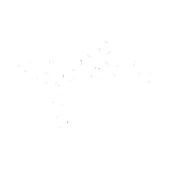 CC1(C)c2ccccc2-c2ccc(N(c3ccc(-c4ccccc4)cc3)c3ccc(-c4ccc(-c5ccccc5-n5c6ccccc6c6ccc(-c7cccc8ccccc78)cc65)cc4)cc3)cc21